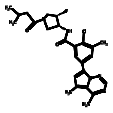 Cc1cc(-c2cc(C(F)(F)F)c3c(N)ncnn23)cc(C(=O)N[C@@H]2CN(C(=O)CC(C)C(F)(F)F)C[C@@H]2F)c1Cl